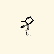 CC1C=CC=CC1(N=NN)[N+]#N